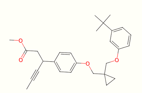 CC#CC(CC(=O)OC)c1ccc(OCC2(COc3cccc(C(C)(C)C)c3)CC2)cc1